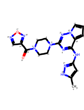 Cc1cc(Nc2nc(N3CCN(C(=O)c4cnon4)CC3)nn3cccc23)n[nH]1